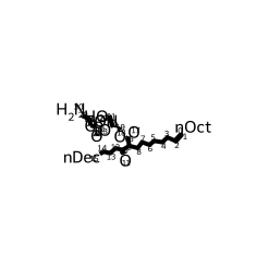 CCCCCCCC/C=C\CCCCCCC(C(=O)CCCCCCCCCCCCC)C(=O)OC[C@H](CO)OP(=O)(O)OCCN